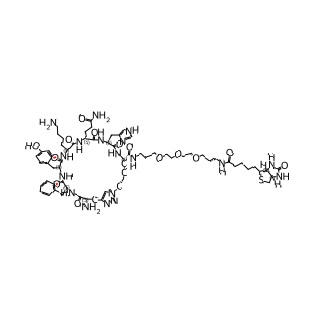 NCCCC[C@@H]1NC(=O)[C@H](Cc2ccc(O)cc2)NC(=O)[C@H](Cc2ccccc2)NC(=O)[C@@H](N)Cc2cn(nn2)CCCC[C@@H](C(=O)NCCCOCCOCCOCCCNC(=O)CCCCC2SC[C@H]3NC(=O)N[C@@H]23)NC(=O)[C@H](Cc2c[nH]cn2)NC(=O)[C@H](CCC(N)=O)NC1=O